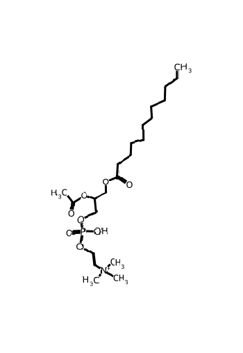 CCCCCCCCCCCC(=O)OCC(COP(=O)(O)OCC[N+](C)(C)C)OC(C)=O